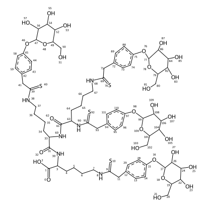 O=C(O)C(CCCCNC(=S)Cc1ccc(OC2OC(CO)C(O)C(O)C2O)cc1)NC(=O)C(CCCCNC(=S)Cc1ccc(OC2OC(CO)C(O)C(O)C2O)cc1)NC(=O)C(CCCCNC(=S)Cc1ccc(OC2OC(CO)C(O)C(O)C2O)cc1)NC(=S)Cc1ccc(OC2OC(CO)C(O)C(O)C2O)cc1